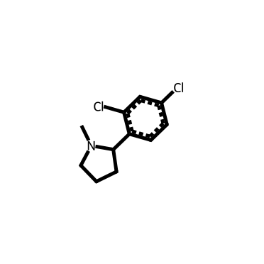 CN1CCCC1c1ccc(Cl)cc1Cl